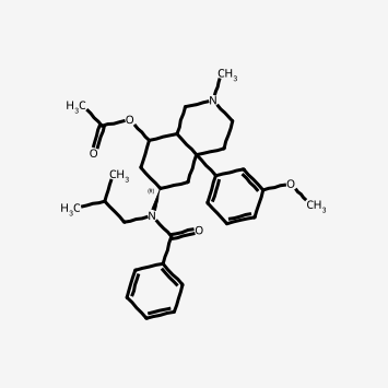 COc1cccc(C23CCN(C)CC2C(OC(C)=O)C[C@H](N(CC(C)C)C(=O)c2ccccc2)C3)c1